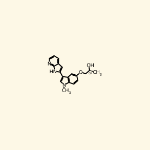 C[C@H](O)COc1ccc2c(c1)c(-c1cc3cccnc3[nH]1)cn2C